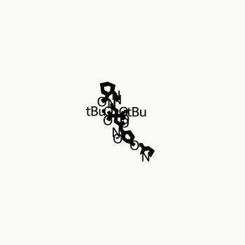 CC(C)(C)OC(=O)C(CCn1nnc2ccccc2c1=O)(CC(=O)c1noc2cc(OCc3cccnc3)ccc12)C(=O)OC(C)(C)C